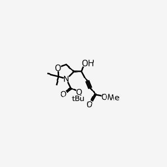 COC(=O)C#CC(O)C1COC(C)(C)N1C(=O)OC(C)(C)C